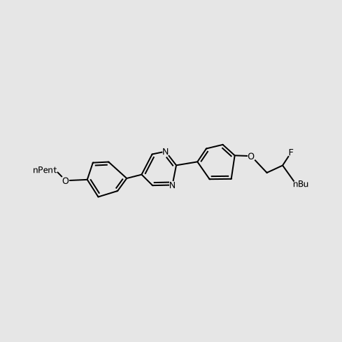 CCCCCOc1ccc(-c2cnc(-c3ccc(OCC(F)CCCC)cc3)nc2)cc1